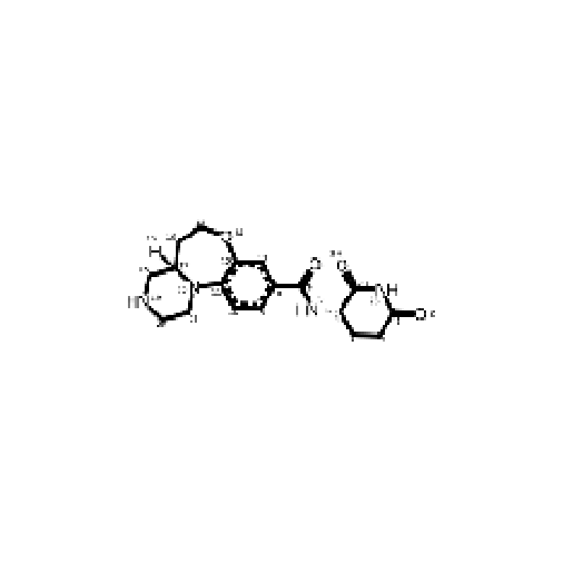 O=C1CC[C@H](NC(=O)c2ccc3c(c2)OCC[C@H]2CNCCN32)C(=O)N1